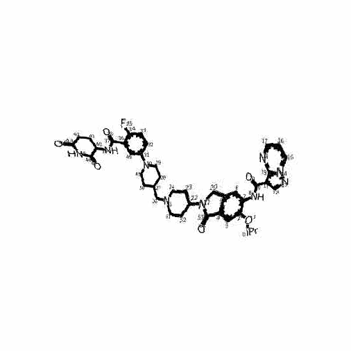 CC(C)Oc1cc2c(cc1NC(=O)c1cnn3cccnc13)CN(C1CCN(CC3CCN(c4ccc(F)c(C(=O)NC5CCC(=O)NC5=O)c4)CC3)CC1)C2=O